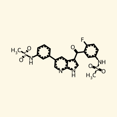 CS(=O)(=O)Nc1cccc(-c2cnc3[nH]cc(C(=O)c4cc(NS(C)(=O)=O)ccc4F)c3c2)c1